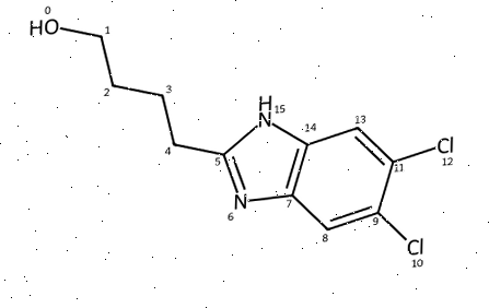 OCCCCc1nc2cc(Cl)c(Cl)cc2[nH]1